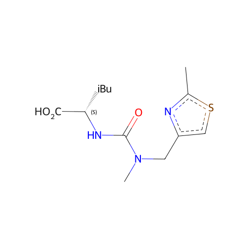 CCC(C)[C@H](NC(=O)N(C)Cc1csc(C)n1)C(=O)O